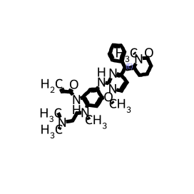 C=CC(=O)Nc1cc(Nc2nccc(/C(=C3\CCCC(=O)N3C)c3ccccc3)n2)c(OC)cc1N(C)CCN(C)C